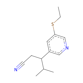 CCSc1cncc(C(CC#N)C(C)C)c1